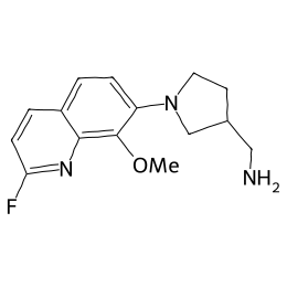 COc1c(N2CCC(CN)C2)ccc2ccc(F)nc12